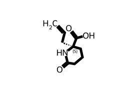 C=CC[C@]1(C(=O)O)CCCC(=O)N1